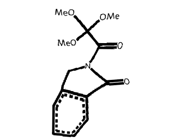 COC(OC)(OC)C(=O)N1Cc2ccccc2C1=O